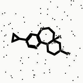 CC(C)N1CCN2c3ncc(C4CC4)cc3OCC[C@@H]2C1